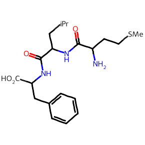 CSCCC(N)C(=O)NC(CC(C)C)C(=O)NC(Cc1ccccc1)C(=O)O